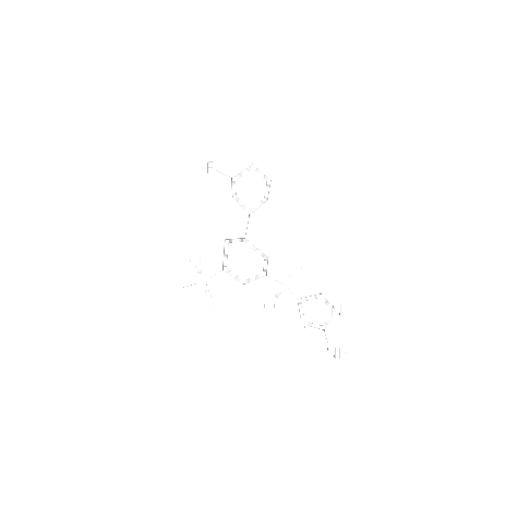 CNc1ncc(S(=O)(=O)c2cc(-c3cccc(F)c3)cc(S(C)(=O)=O)c2)s1